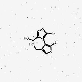 OCc1csc(Br)c1-c1c(CO)csc1Br